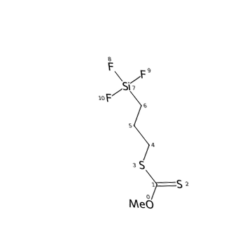 COC(=S)SCCC[Si](F)(F)F